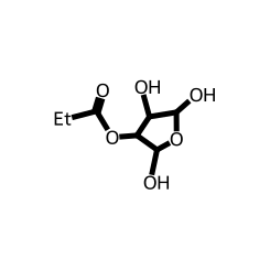 CCC(=O)OC1C(O)OC(O)C1O